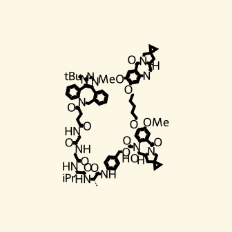 COc1cc2c(cc1OCCCCCOc1cc3c(cc1OC)C(=O)N1CC4(CC4)C[C@H]1[C@H](O)N3C(=O)OCc1ccc(NC(=O)[C@H](C)NC(=O)[C@@H](NC(=O)CNC(=O)CNC(=O)CCC(=O)N3Cc4ccccc4-c4nnn(C(C)(C)C)c4-c4ccccc43)C(C)C)cc1)N=C[C@@H]1CC3(CC3)CN1C2=O